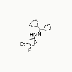 CCc1cc(NN=C(c2ccccc2)c2ccccc2)ncc1F